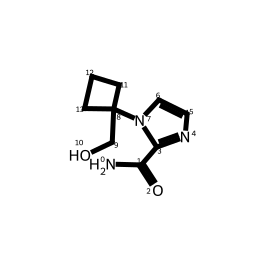 NC(=O)c1n[c]cn1C1(CO)CCC1